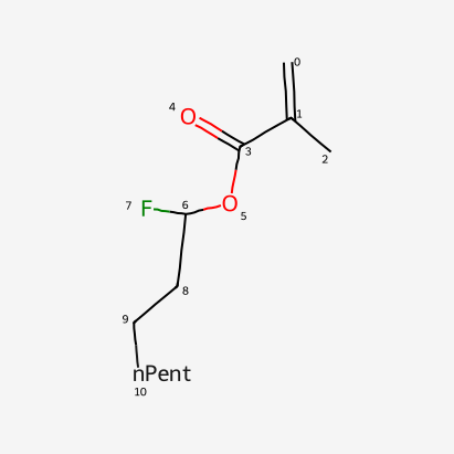 C=C(C)C(=O)OC(F)CCCCCCC